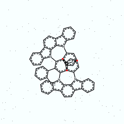 N#Cc1cc(-n2c3ccccc3c3ccc4c5ccccc5n(-c5ccccc5)c4c32)c(-c2ccccc2C(F)(F)F)c(-n2c3ccccc3c3ccc4c5ccccc5n(-c5ccccc5)c4c32)c1